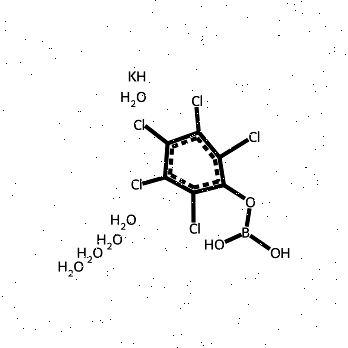 O.O.O.O.O.OB(O)Oc1c(Cl)c(Cl)c(Cl)c(Cl)c1Cl.[KH]